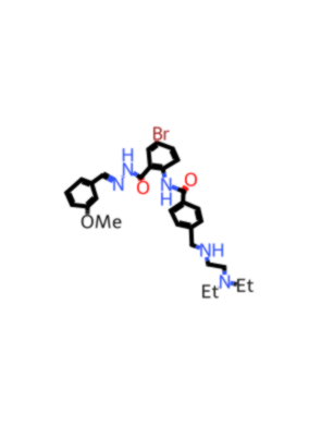 CCN(CC)CCNCc1ccc(C(=O)Nc2ccc(Br)cc2C(=O)NN=Cc2cccc(OC)c2)cc1